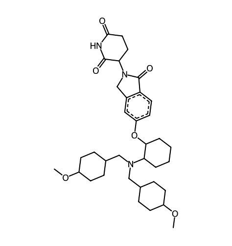 COC1CCC(CN(CC2CCC(OC)CC2)C2CCCCC2Oc2ccc3c(c2)CN(C2CCC(=O)NC2=O)C3=O)CC1